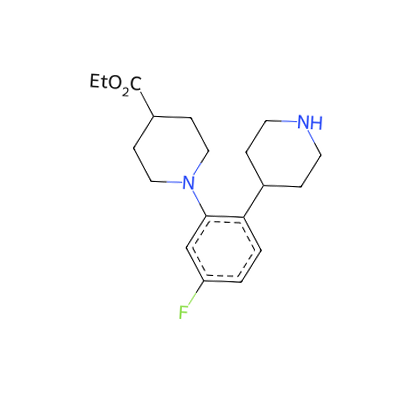 CCOC(=O)C1CCN(c2cc(F)ccc2C2CCNCC2)CC1